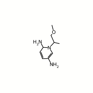 COCC(C)N1C=C(N)C=CC1N